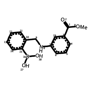 COC(=O)c1cccc(NCc2ccccc2B(O)O)c1